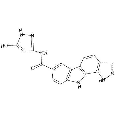 O=C(Nc1cc(O)[nH]n1)c1ccc2[nH]c3c(ccc4cn[nH]c43)c2c1